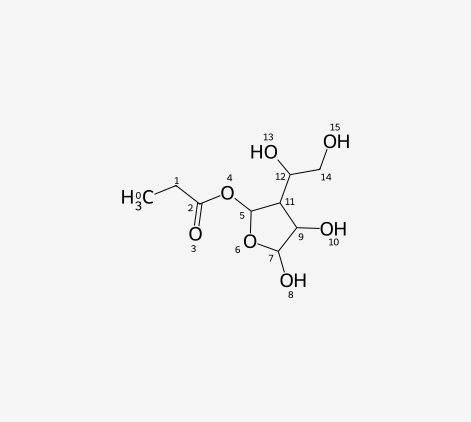 CCC(=O)OC1OC(O)C(O)C1C(O)CO